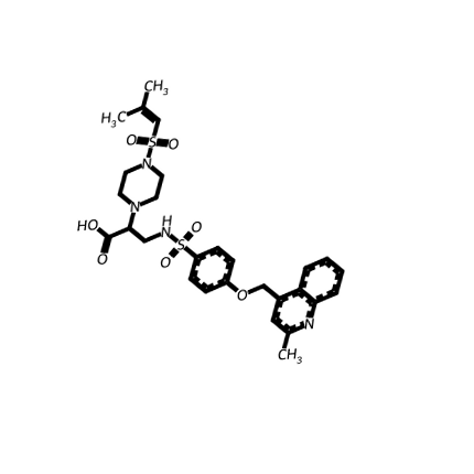 CC(C)=CS(=O)(=O)N1CCN(C(CNS(=O)(=O)c2ccc(OCc3cc(C)nc4ccccc34)cc2)C(=O)O)CC1